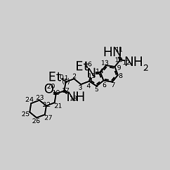 CC[C@@H](CCc1cc2ccc(C(=N)N)cc2n1CC)C(=N)C(=O)CC1CCCCC1